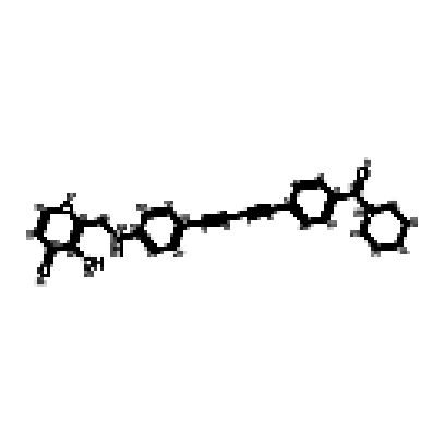 O=C(c1ccc(C#CC#Cc2ccc(NCc3occc(=O)c3O)cc2)cc1)N1CCCCC1